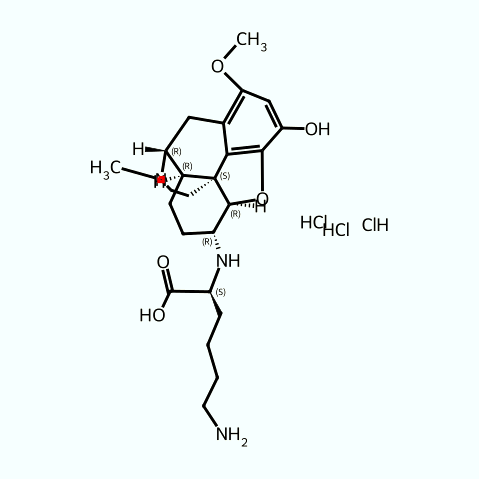 COc1cc(O)c2c3c1C[C@@H]1[C@@H]4CC[C@@H](N[C@@H](CCCCN)C(=O)O)[C@H](O2)[C@]34CCN1C.Cl.Cl.Cl